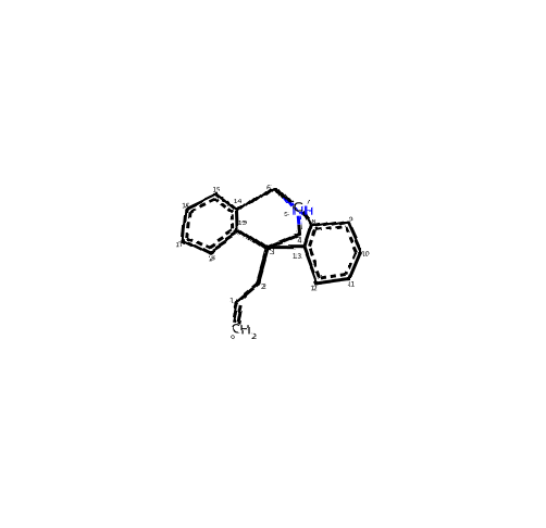 C=CCC12CNC(Cc3ccccc31)c1ccccc12